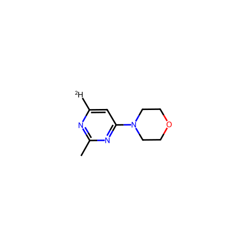 [2H]c1cc(N2CCOCC2)nc(C)n1